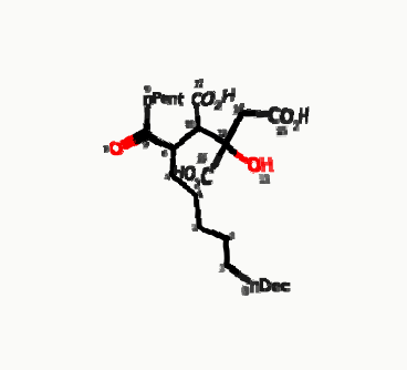 CCCCCCCCCCCCCCCC(C(=O)CCCCC)C(C(=O)O)C(O)(CC(=O)O)C(=O)O